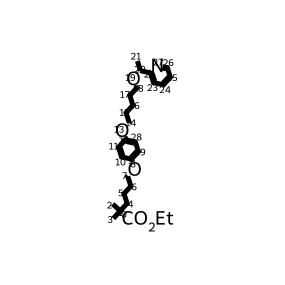 CCOC(=O)C(C)(C)CCCCOc1ccc(OCCCCCOC(C)c2ccccn2)cc1